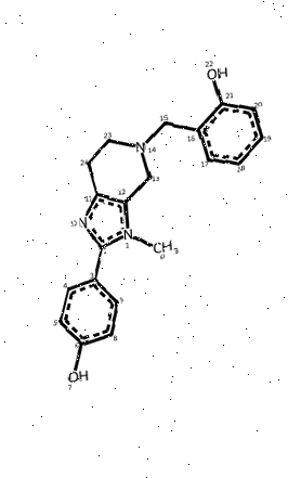 Cn1c(-c2ccc(O)cc2)nc2c1CN(Cc1ccccc1O)CC2